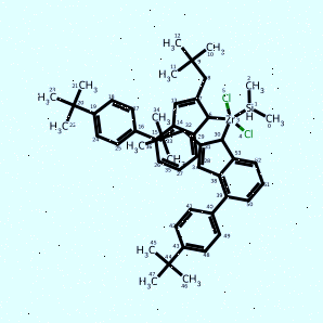 C[SiH](C)[Zr]([Cl])([Cl])([CH]1C(CC(C)(C)C)=Cc2c(-c3ccc(C(C)(C)C)cc3)cccc21)[CH]1C(CC(C)(C)C)=Cc2c(-c3ccc(C(C)(C)C)cc3)cccc21